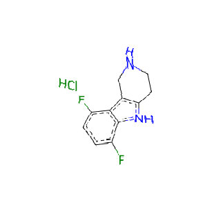 Cl.Fc1ccc(F)c2c3c([nH]c12)CCNC3